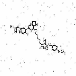 CCN[C@H](C)c1cc(-c2cn3ccnc3c(OCCCCCC(C#N)NC(=O)Oc3ccc([N+](=O)[O-])cc3)n2)c(F)cn1